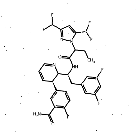 CCC(C(=O)N[C@@H](Cc1cc(F)cc(F)c1)C1N=CC=C[C@@H]1c1ccc(F)c(C(N)=O)c1)n1nc(C(F)F)cc1C(F)F